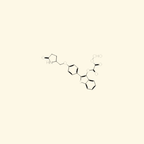 O=COC(=O)C(=O)Oc1c(-c2ccc(OCC3CCC(=O)N3)cc2)sc2ccccc12